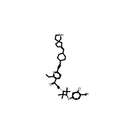 CCc1nc(C#CC2CCC(/C=C3\CCC4(CCNC4)C3)CC2)ccc1C(=O)C#C[C@H]1C(C)(C)[C@H](Oc2ccc(C#N)c(Cl)c2)C1(C)C